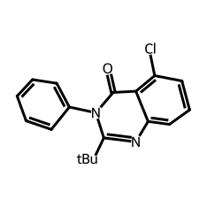 CC(C)(C)c1nc2cccc(Cl)c2c(=O)n1-c1ccccc1